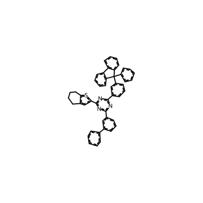 c1ccc(-c2cccc(-c3nc(-c4cccc(C5(c6ccccc6)c6ccccc6-c6ccccc65)c4)nc(-c4cc5c(s4)CCCC5)n3)c2)cc1